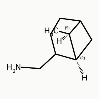 C[C@H]1C2CCC(CN)[C@@H]1C2